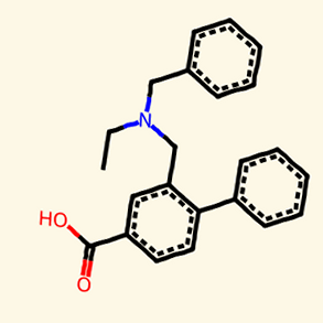 CCN(Cc1ccccc1)Cc1cc(C(=O)O)ccc1-c1ccccc1